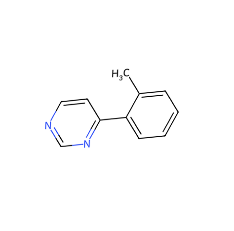 Cc1ccccc1-c1ccncn1